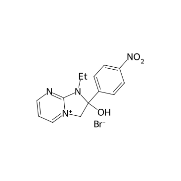 CCN1c2nccc[n+]2CC1(O)c1ccc([N+](=O)[O-])cc1.[Br-]